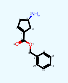 N[C@@H]1CC=C(C(=O)OCc2ccccc2)C1